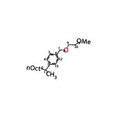 CCCCCCCCC(C)c1ccc(COCCOC)cc1